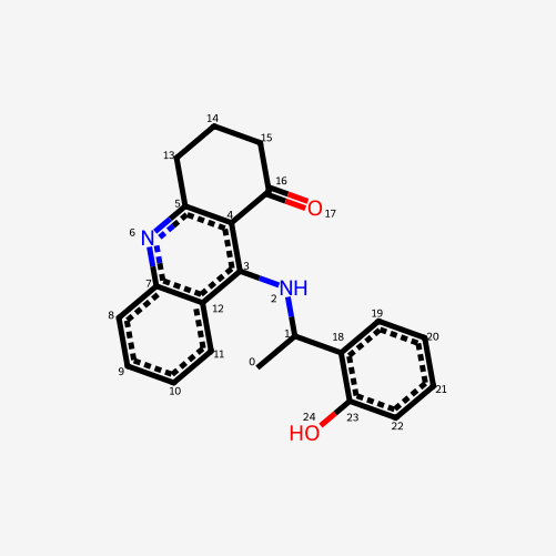 CC(Nc1c2c(nc3ccccc13)CCCC2=O)c1ccccc1O